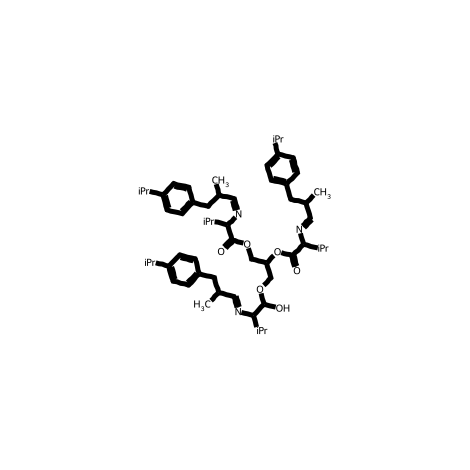 CC(/C=N\C(C(=O)OCC(COC(O)C(/N=C/C(C)Cc1ccc(C(C)C)cc1)C(C)C)OC(=O)C(/N=C/C(C)Cc1ccc(C(C)C)cc1)C(C)C)C(C)C)Cc1ccc(C(C)C)cc1